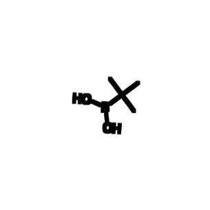 CC(C)(C)B(O)O